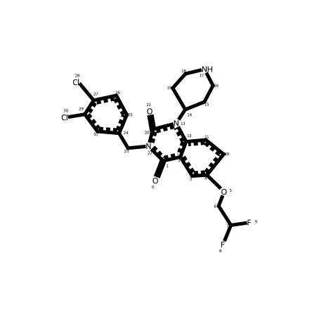 O=c1c2cc(OCC(F)F)ccc2n(C2CCNCC2)c(=O)n1Cc1ccc(Cl)c(Cl)c1